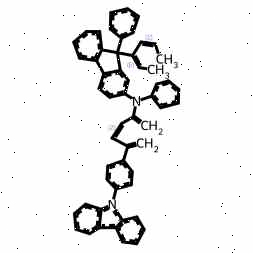 C=C(/C=C\C(=C)N(c1ccccc1)c1ccc2c(c1)C(C(/C=C\C)=C/C)(c1ccccc1)c1ccccc1-2)c1ccc(-n2c3ccccc3c3ccccc32)cc1